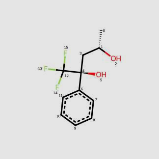 C[C@H](O)C[C@](O)(c1ccccc1)C(F)(F)F